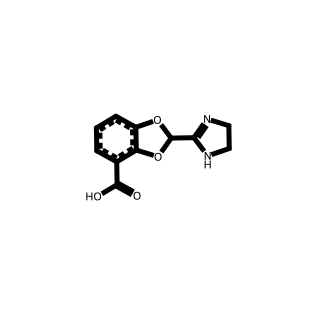 O=C(O)c1cccc2c1OC(C1=NCCN1)O2